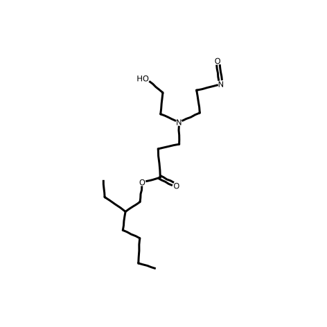 CCCCC(CC)COC(=O)CCN(CCO)CCN=O